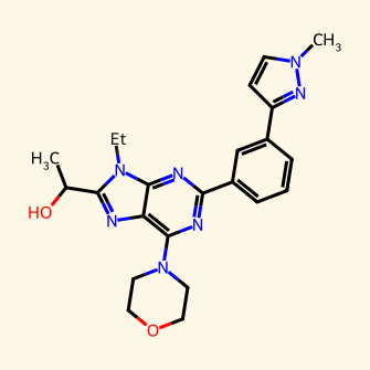 CCn1c(C(C)O)nc2c(N3CCOCC3)nc(-c3cccc(-c4ccn(C)n4)c3)nc21